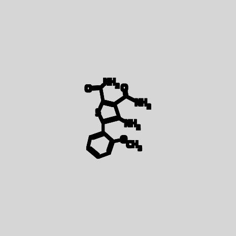 COc1ccccc1-c1sc(C(N)=O)c(C(N)=O)c1N